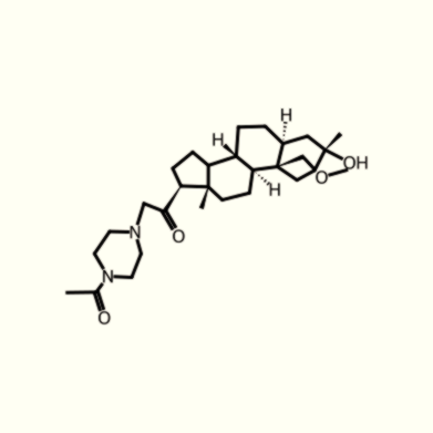 COC[C@]12CC[C@@](C)(O)C[C@@H]1CC[C@H]1C3CC[C@H](C(=O)CN4CCN(C(C)=O)CC4)[C@@]3(C)CC[C@@H]12